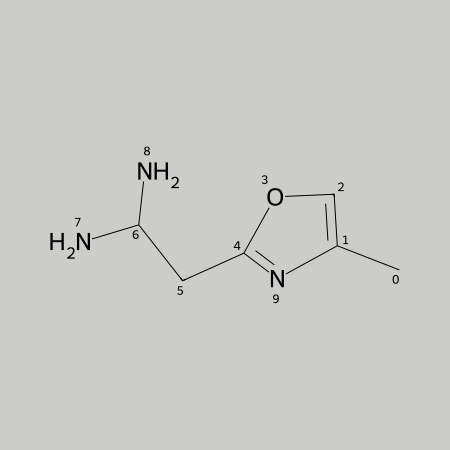 Cc1coc(CC(N)N)n1